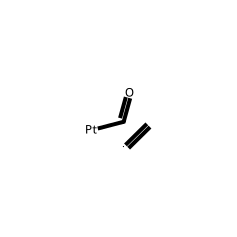 O=[CH][Pt].[CH]=C